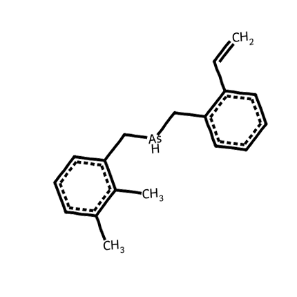 C=Cc1ccccc1C[AsH]Cc1cccc(C)c1C